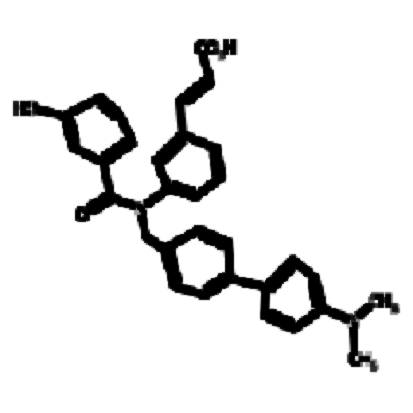 CN(C)c1ccc(-c2ccc(CN(C(=O)c3cccc(O)c3)c3cccc(C=CC(=O)O)c3)cc2)cc1